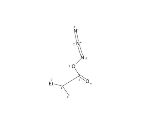 CCC(C)C(=O)ON=[N+]=[N-]